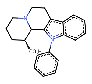 O=C(O)[C@H]1CCCN2CCc3c(n(-c4ccccc4)c4ccccc34)C12